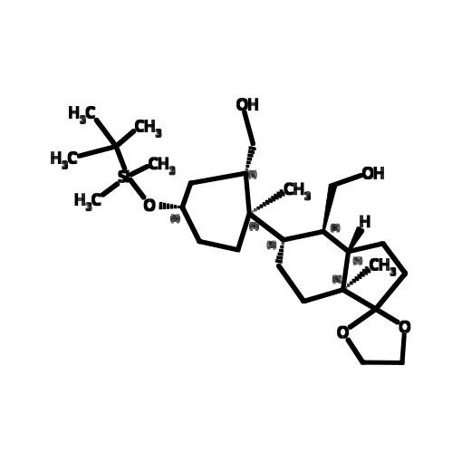 CC(C)(C)[Si](C)(C)O[C@H]1CC[C@](C)([C@H]2CC[C@@]3(C)[C@@H](CCC34OCCO4)[C@@H]2CO)[C@@H](CO)C1